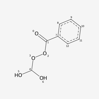 O=C(OOC(O)O)c1ccccc1